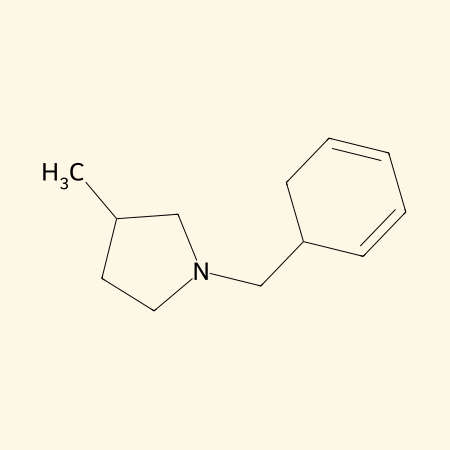 CC1CCN(CC2C=CC=CC2)C1